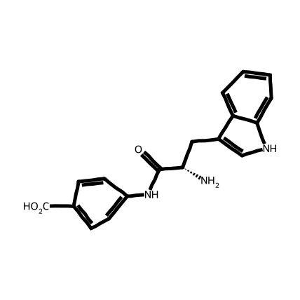 N[C@@H](Cc1c[nH]c2ccccc12)C(=O)Nc1ccc(C(=O)O)cc1